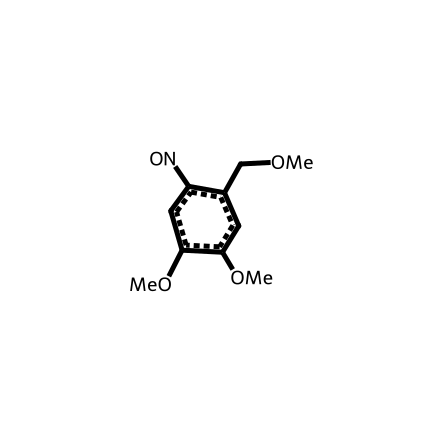 COCc1cc(OC)c(OC)cc1N=O